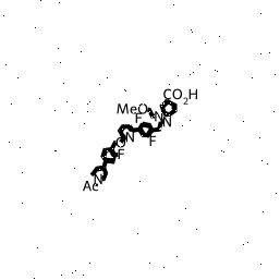 COCCn1c(Cc2cc(F)c(-c3cccc(OCc4ccc(C5=CCN(C(C)=O)CC5)cc4F)n3)cc2F)nc2ccc(C(=O)O)cc21